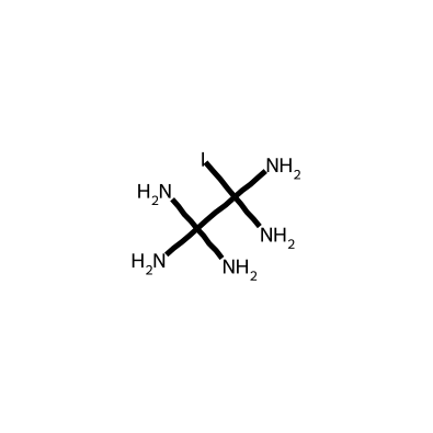 NC(N)(N)C(N)(N)I